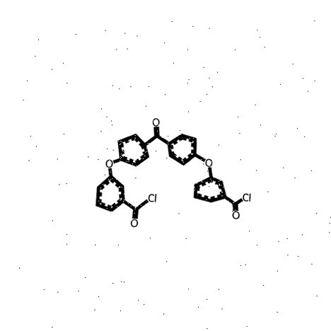 O=C(Cl)c1cccc(Oc2ccc(C(=O)c3ccc(Oc4cccc(C(=O)Cl)c4)cc3)cc2)c1